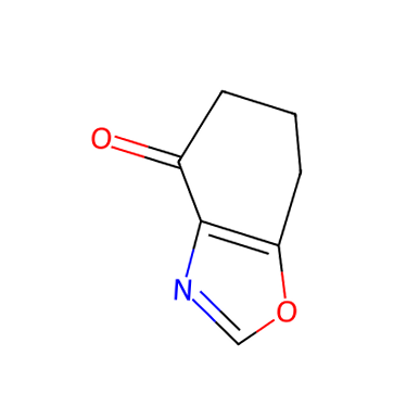 O=C1CCCc2ocnc21